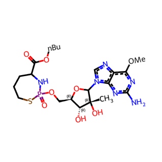 CCCCOC(=O)C1CCCSP(=O)(OC[C@H]2OC(n3cnc4c(OC)nc(N)nc43)[C@](C)(O)[C@@H]2O)N1